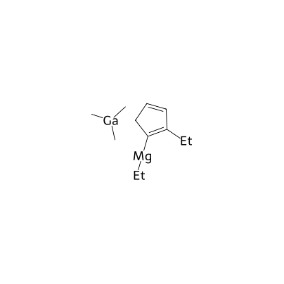 C[CH2][Mg][C]1=C(CC)C=CC1.[CH3][Ga]([CH3])[CH3]